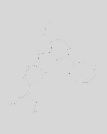 COc1cnc(N2CCCNCC2)nc1Nc1ccc(/C(C=N)=C/N)cc1